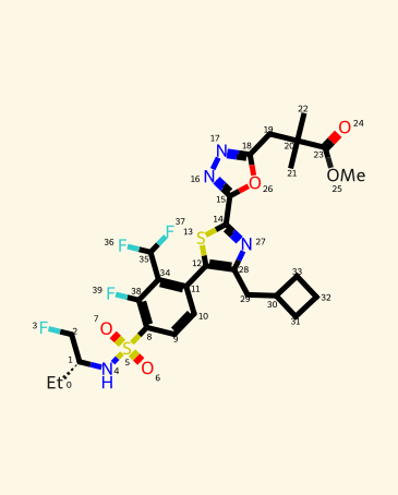 CC[C@H](CF)NS(=O)(=O)c1ccc(-c2sc(-c3nnc(CC(C)(C)C(=O)OC)o3)nc2CC2CCC2)c(C(F)F)c1F